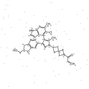 C=CC(=O)N1CC2(CC(n3nc(-c4ccc5c(c4)OC(CO)C5)c(-c4c(Cl)c(C)cc5[nH]ncc45)c3C)C2)C1